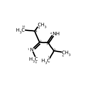 C/N=C(\C(=N)C(C)C)C(C)C